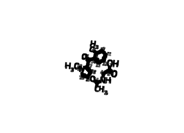 CC(=O)NCC(=O)O.Cc1ccccc1C(=O)c1cccn1C